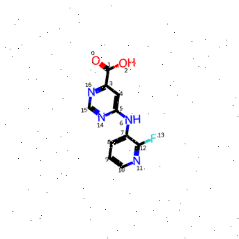 O=C(O)c1cc(Nc2cccnc2F)ncn1